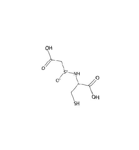 O=C(O)C[S+]([O-])NC(CS)C(=O)O